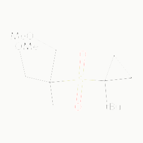 COCC(C)(COC)S(=O)(=O)C1(C(C)(C)C)CC1